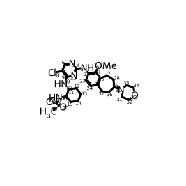 COc1c(Nc2ncc(Cl)c(N[C@@H]3CCCC[C@H]3NS(C)(=O)=O)n2)ccc2c1CCC(N1CCOCC1)CC2